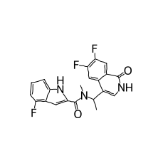 CC(c1c[nH]c(=O)c2cc(F)c(F)cc12)N(C)C(=O)c1cc2c(F)cccc2[nH]1